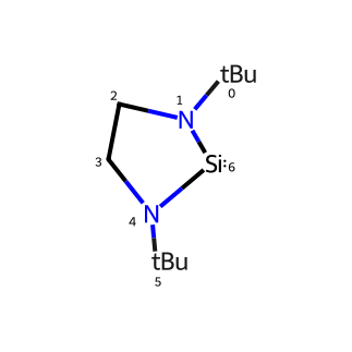 CC(C)(C)N1CCN(C(C)(C)C)[Si]1